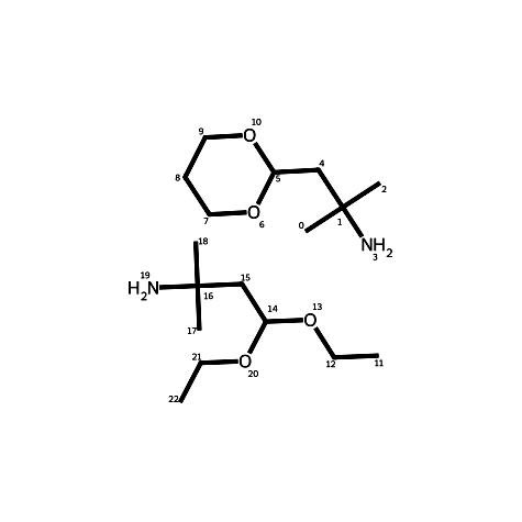 CC(C)(N)CC1OCCCO1.CCOC(CC(C)(C)N)OCC